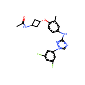 CC(=O)N[C@H]1C[C@H](Oc2ccc(Nc3ncn(-c4cc(F)cc(F)c4)n3)cc2C)C1